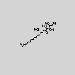 Cl.NCCCCCCCCCCCCC(=O)[C@@H](O)[C@H](O)[C@H](O)CO